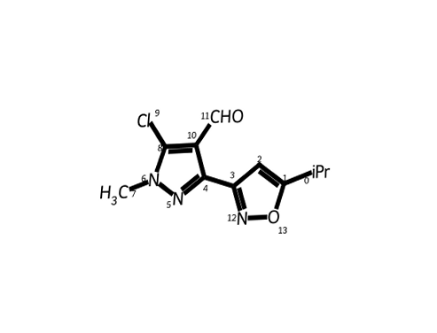 CC(C)c1cc(-c2nn(C)c(Cl)c2C=O)no1